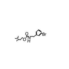 CS(C)(C)CCOC(=O)NCCc1cccc(Br)c1